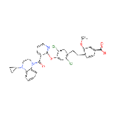 COc1cc(C(=O)O)ccc1CCc1cc(Cl)c(Oc2ncccc2C(=O)N2CCN(C3CC3)c3ccccc32)cc1Cl